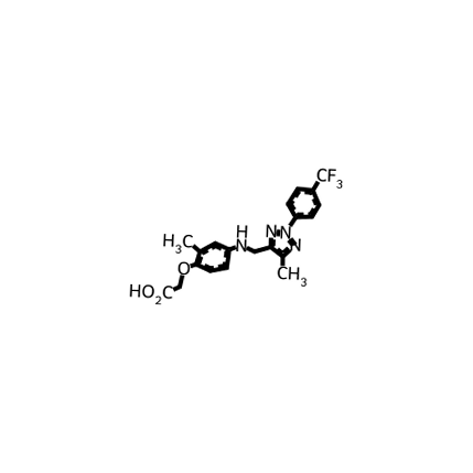 Cc1cc(NCc2nn(-c3ccc(C(F)(F)F)cc3)nc2C)ccc1OCC(=O)O